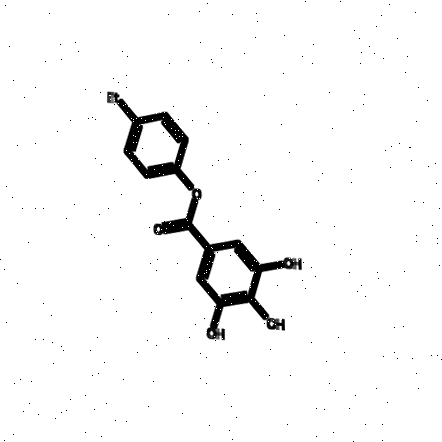 CCc1ccc(OC(=O)c2cc(O)c(O)c(O)c2)cc1